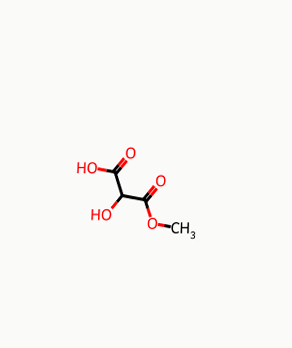 COC(=O)C(O)C(=O)O